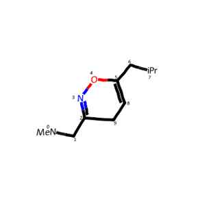 CNCC1=NOC(CC(C)C)=CC1